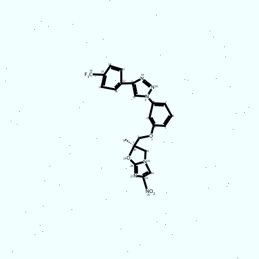 C[C@]1(COc2cccc(-n3cc(-c4ccc(C(F)(F)F)cc4)nn3)c2)Cn2cc([N+](=O)[O-])nc2O1